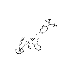 O=C(O)c1ccc(CCNC(C(=O)O[C@H]2CN3CCC2CC3)c2ccccc2F)cc1